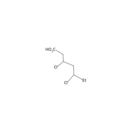 CCC(Cl)CC(Cl)CC(=O)O